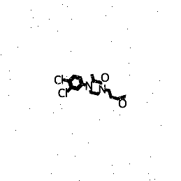 CC1C(=O)N(CCC2CO2)CCN1c1ccc(Cl)c(Cl)c1